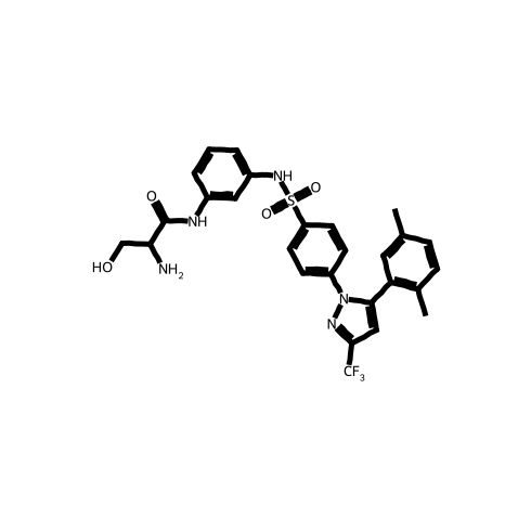 Cc1ccc(C)c(-c2cc(C(F)(F)F)nn2-c2ccc(S(=O)(=O)Nc3cccc(NC(=O)C(N)CO)c3)cc2)c1